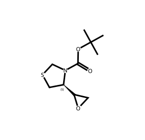 CC(C)(C)OC(=O)N1CSC[C@@H]1C1CO1